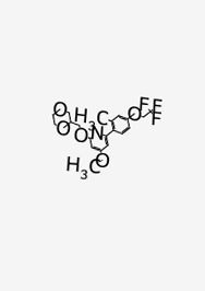 COc1cc(OCC2COCCO2)nc(-c2ccc(OCC(F)(F)F)cc2C)c1